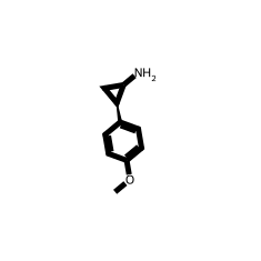 COc1ccc([C@H]2CC2N)cc1